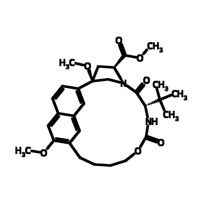 COC(=O)[C@@H]1C[C@]2(OC)CN1C(=O)[C@H](C(C)(C)C)NC(=O)OCCCCc1cc3cc2ccc3cc1OC